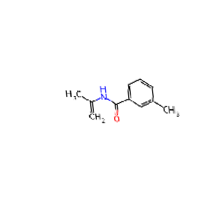 C=C(C)NC(=O)c1cccc(C)c1